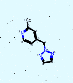 CC(=O)c1cc(Cn2n[c]cn2)ccn1